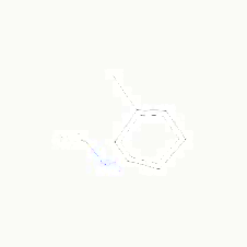 Cc1ccccc1.N[SiH3]